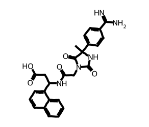 CC1(c2ccc(C(=N)N)cc2)NC(=O)N(CC(=O)NC(CC(=O)O)c2cccc3ccccc23)C1=O